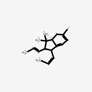 C/C=C\C1C2=CC=C(I)CC2C(C)(C)C1/C=C/C